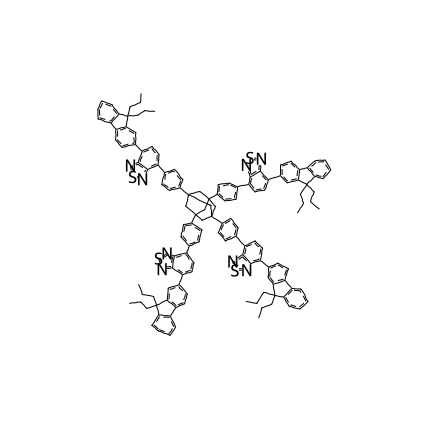 CCCC1(CCC)c2ccccc2-c2ccc(-c3ccc(-c4ccc(C56CC7(c8ccc(-c9ccc(-c%10ccc%11c(c%10)C(CCC)(CCC)c%10ccccc%10-%11)c%10nsnc9%10)cc8)CC(c8ccc(-c9ccc(-c%10ccc%11c(c%10)C(CCC)(CCC)c%10ccccc%10-%11)c%10nsnc9%10)cc8)(C5)CC(c5ccc(-c8ccc(-c9ccc%10c(c9)C(CCC)(CCC)c9ccccc9-%10)c9nsnc89)cc5)(C6)C7)cc4)c4nsnc34)cc21